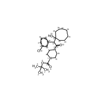 CC(C)(C)OC(=O)N1CCN(C(=O)C(c2cccc(Cl)c2)C2(O)CCCCCCC2)CC1